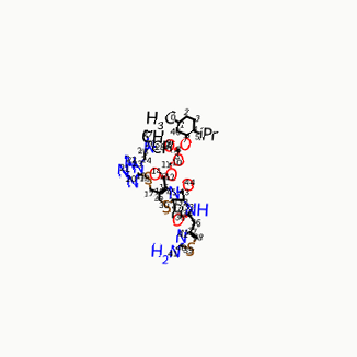 CC1CCC(C(C)C)C(OC(=O)OCOC(=O)C2=C(CSc3nnnn3CCN(C)C)CS[C@H]3[C@H](NC(=O)Cc4csc(N)n4)C(=O)N23)C1